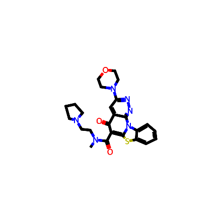 CN(CCN1CCCC1)C(=O)c1c(=O)c2cc(N3CCOCC3)nnc2n2c1sc1ccccc12